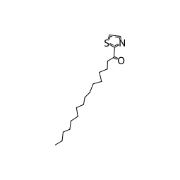 CCCCCCCCCCCCCCCC(=O)c1nccs1